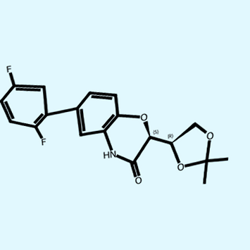 CC1(C)OC[C@H]([C@@H]2Oc3ccc(-c4cc(F)ccc4F)cc3NC2=O)O1